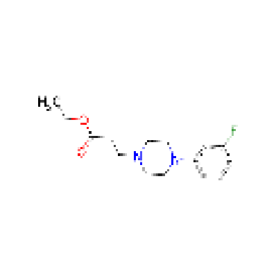 CCOC(=O)CCN1CCN(c2cccc(F)c2)CC1